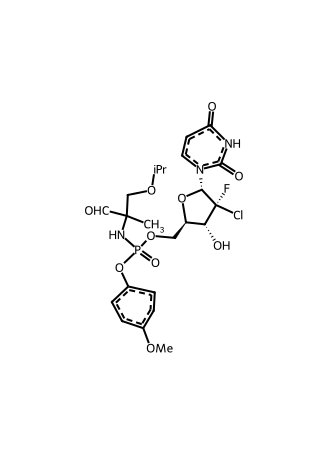 COc1ccc(OP(=O)(NC(C)(C=O)COC(C)C)OC[C@H]2O[C@H](n3ccc(=O)[nH]c3=O)[C@@](F)(Cl)[C@@H]2O)cc1